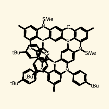 CSN1c2cc3c(cc2B2c4cc5c(cc4Oc4cc(C)cc1c42)N(SC)c1cc(C)cc2c1B5c1sc4ccc(C(C)(C)C)cc4c1O2)B1c2sc4ccc(C(C)(C)C)cc4c2N(c2ccc(C(C)(C)C)cc2)c2cc(C)cc(c21)N3c1ccc(C(C)(C)C)cc1